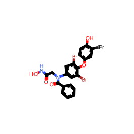 CC(C)c1cc(Oc2c(Br)cc(N(CC(=O)NO)C(=O)c3ccccc3)cc2Br)ccc1O